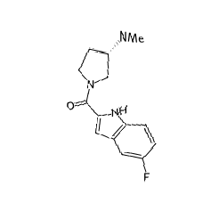 CN[C@H]1CCN(C(=O)c2cc3cc(F)ccc3[nH]2)C1